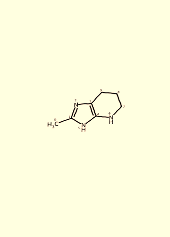 Cc1nc2c([nH]1)NCCC2